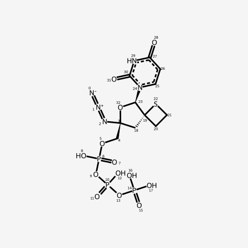 [N-]=[N+]=N[C@@]1(COP(=O)(O)OP(=O)(O)OP(=O)(O)O)C[C@]2(CCS2)[C@H](n2ccc(=O)[nH]c2=O)O1